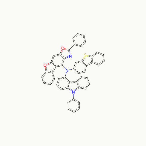 c1ccc(-c2nc3c(N(c4ccc5c(c4)sc4ccccc45)c4cccc5c4c4ccccc4n5-c4ccccc4)c4c(cc3o2)oc2ccccc24)cc1